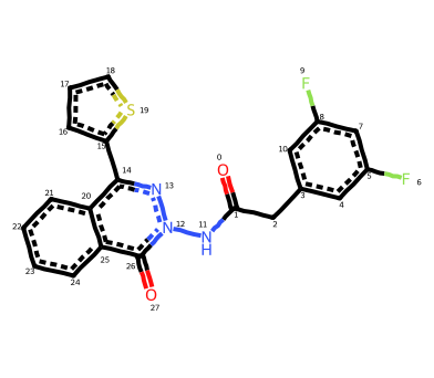 O=C(Cc1cc(F)cc(F)c1)Nn1nc(-c2cccs2)c2ccccc2c1=O